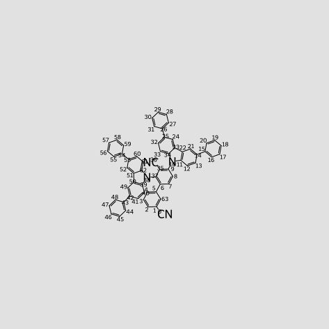 N#Cc1cccc(-c2ccc(-n3c4ccc(-c5ccccc5)cc4c4cc(-c5ccccc5)ccc43)c(C#N)c2-n2c3ccc(-c4ccccc4)cc3c3cc(-c4ccccc4)ccc32)c1